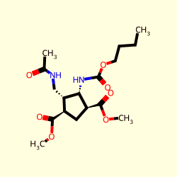 CCCCOC(=O)N[C@H]1[C@@H](CNC(C)=O)[C@H](C(=O)OC)C[C@@H]1C(=O)OC